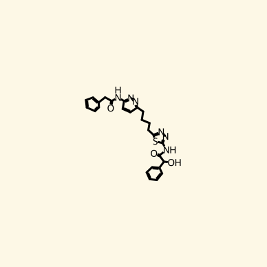 O=C(Cc1ccccc1)Nc1ccc(CCCCc2nnc(NC(=O)C(O)c3ccccc3)s2)nn1